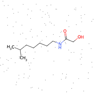 CC(C)CCCCCNC(=O)CO